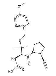 COc1ccc(CSC(C)(C)[C@H](NC(=O)O)C(=O)N2CCC[C@H]2C#N)cc1